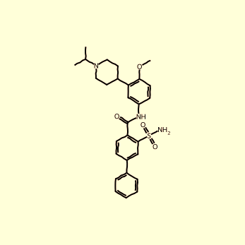 COc1ccc(NC(=O)c2ccc(-c3ccccc3)cc2S(N)(=O)=O)cc1C1CCN(C(C)C)CC1